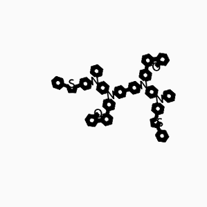 c1ccc(-c2ccc(-c3ccc(N(c4ccccc4)c4ccc(N(c5ccc(-c6ccc(N(c7ccc(-c8cccc9c8oc8ccccc89)cc7)c7ccc(N(c8ccccc8)c8ccc(-c9ccc(-c%10ccccc%10)s9)cc8)cc7)cc6)cc5)c5ccc(-c6cccc7c6oc6ccccc67)cc5)cc4)cc3)s2)cc1